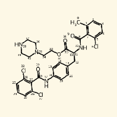 Cc1cccc(Cl)c1C(=O)N[C@@H](Cc1ccc(NC(=O)c2c(Cl)cccc2Cl)cc1)C(=O)OCCN1CCNCC1